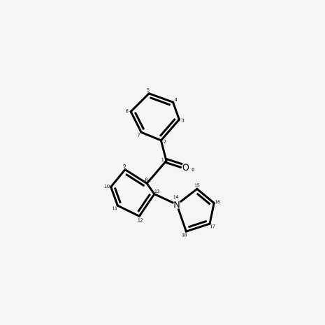 O=C(c1ccccc1)c1ccccc1-n1cccc1